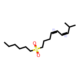 CCCCCCS(=O)(=O)CCC/C=C\C=C/C(C)C